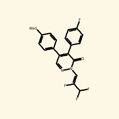 CSc1ccc(-c2cnn(/C=C(\F)C(F)F)c(=O)c2-c2ccc(F)cc2)cc1